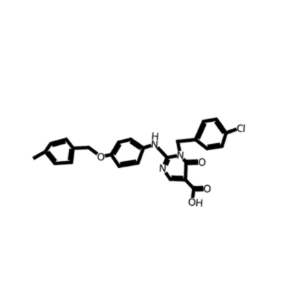 Cc1ccc(COc2ccc(Nc3ncc(C(=O)O)c(=O)n3Cc3ccc(Cl)cc3)cc2)cc1